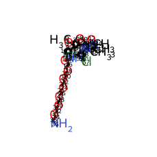 COc1cc2c(cc1-c1cccc(NC(=O)CCOCCOCCOCCOCCOCCOCCN)c1)-c1c(c(C(=O)N(C)C(C)(C)C)nn1-c1cc(Cl)cc(Cl)c1)CO2